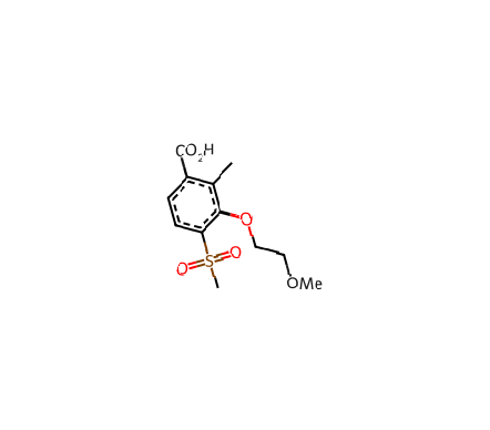 COCCOc1c(S(C)(=O)=O)ccc(C(=O)O)c1C